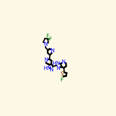 Fc1ccc(-c2ccnc3[nH]c(-c4n[nH]c5cnc(-c6cncc(CN7CCC(F)(F)C7)c6)cc45)nc23)s1